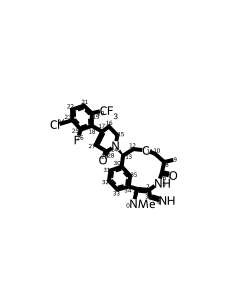 CN/C1=C(\C=N)NC(=O)C(C)CCC[C@H](N2CCC(c3c(C(F)(F)F)ccc(Cl)c3F)=CC2=O)c2cccc1c2